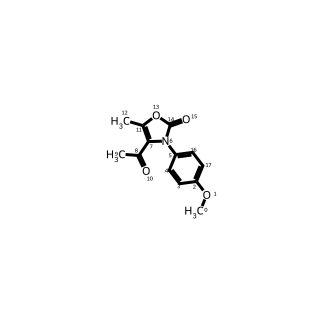 COc1ccc(-n2c(C(C)=O)c(C)oc2=O)cc1